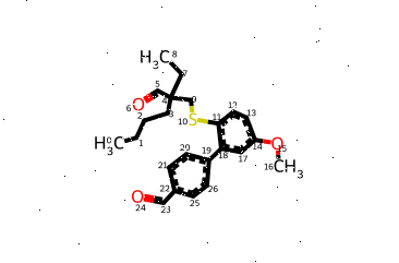 CCCCC(C=O)(CC)CSc1ccc(OC)cc1-c1ccc(C=O)cc1